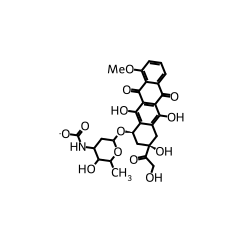 COc1cccc2c1C(=O)c1c(O)c3c(c(O)c1C2=O)C[C@](O)(C(=O)CO)C[C@H]3OC1CC(NC([O])=O)C(O)C(C)O1